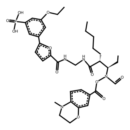 CCCCC[C@@H](C(=O)NCNC(=O)c1ccc(-c2cc(OCC)cc(P(=O)(O)O)c2)o1)[C@@H](CC)N(C=O)OC(=O)c1ccc2c(c1)OCCN2C